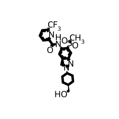 CS(=O)(=O)c1cc2nn([C@H]3CC[C@H](CO)CC3)cc2cc1NC(=O)c1cccc(C(F)(F)F)n1